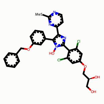 CSc1nccc(-c2nc(-c3c(Cl)cc(OC[C@@H](O)CO)cc3Cl)n(O)c2-c2cccc(OCc3ccccc3)c2)n1